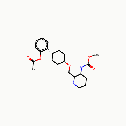 CCC(=O)Oc1ccccc1[C@H]1CC[C@H](OCC2NCCCC2NC(=O)OC(C)(C)C)CC1